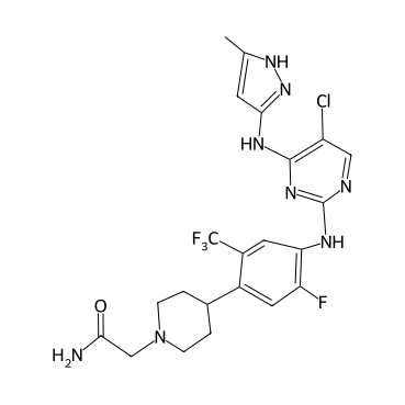 Cc1cc(Nc2nc(Nc3cc(C(F)(F)F)c(C4CCN(CC(N)=O)CC4)cc3F)ncc2Cl)n[nH]1